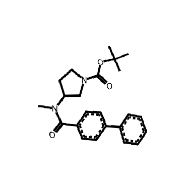 CN(C(=O)c1ccc(-c2ccccc2)cc1)C1CCN(C(=O)OC(C)(C)C)C1